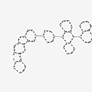 c1ccc2c(-c3c4ccccc4c(-c4ccc(-c5ccc6sc7cc8sc9ccccc9c8cc7c6c5)cc4)c4ccccc34)cccc2c1